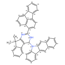 CC1(C)C2=C(c3ccccc31)C(n1c3ccccc3c3cc4ccccc4cc31)NC(c1ccc3c4c(cccc14)-c1ccccc1-3)=N2